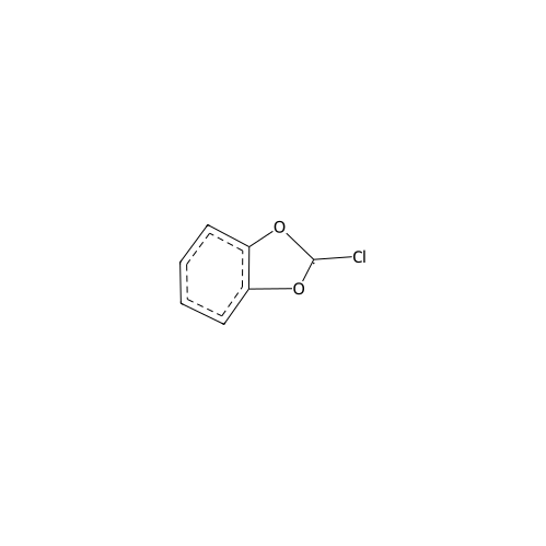 Cl[C]1Oc2ccccc2O1